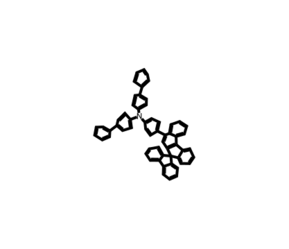 c1ccc(-c2ccc(N(c3ccc(-c4ccccc4)cc3)c3ccc(-c4cc5c(c6ccccc46)-c4ccccc4C54c5ccccc5-c5ccccc54)cc3)cc2)cc1